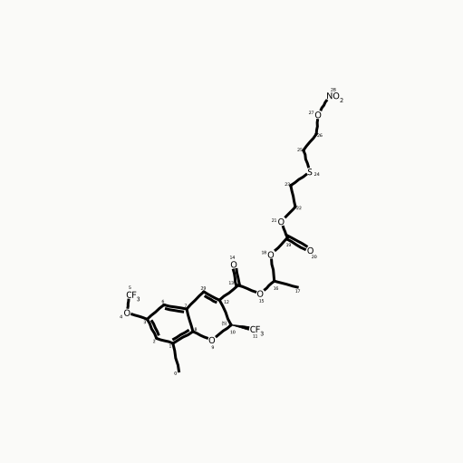 Cc1cc(OC(F)(F)F)cc2c1O[C@H](C(F)(F)F)C(C(=O)OC(C)OC(=O)OCCSCCO[N+](=O)[O-])=C2